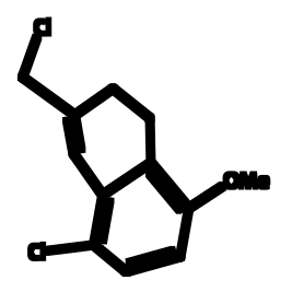 COc1ccc(Cl)c2c1CCC(CCl)=C2